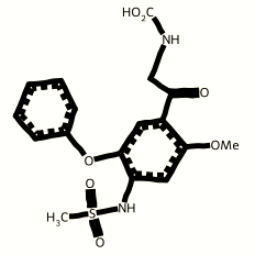 COc1cc(NS(C)(=O)=O)c(Oc2ccccc2)cc1C(=O)CNC(=O)O